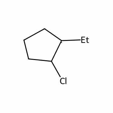 CC[C]1CCCC1Cl